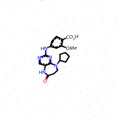 COc1cc(Nc2ncc3c(n2)N(C2CCCC2)CCC(=O)N3)ccc1C(=O)O